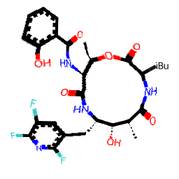 CCC(C)C1NC(=O)[C@H](C)[C@H](O)[C@H](Cc2cc(F)c(F)nc2F)NC(=O)[C@@H](NC(=O)c2ccccc2O)[C@@H](C)OC1=O